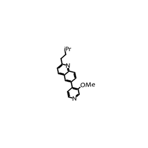 COc1cnccc1-c1ccc2nc(CCC(C)C)ccc2c1